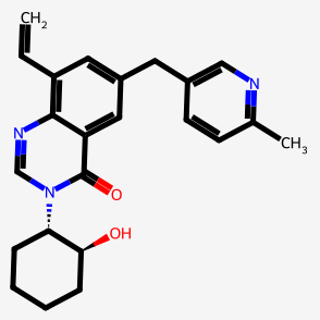 C=Cc1cc(Cc2ccc(C)nc2)cc2c(=O)n([C@H]3CCCC[C@@H]3O)cnc12